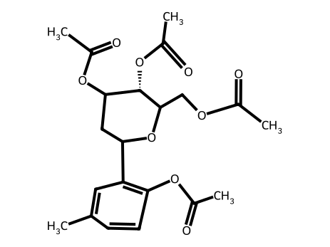 CC(=O)OCC1OC(c2cc(C)ccc2OC(C)=O)CC(OC(C)=O)[C@@H]1OC(C)=O